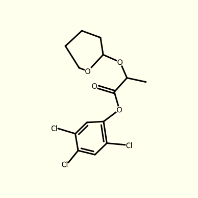 CC(OC1CCCCO1)C(=O)Oc1cc(Cl)c(Cl)cc1Cl